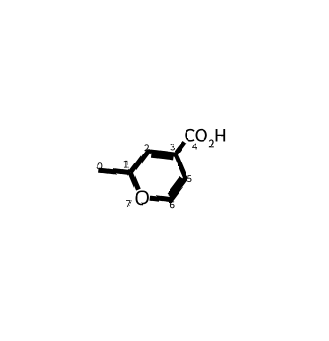 CC1C=C(C(=O)O)C=CO1